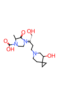 CC1C(=O)N([C@H](CO)CCN2CCC3(CC3)C(O)C2)CCN1C(=O)O